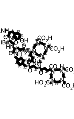 CC[C@@H](C)C(NC(=O)[C@H](Cc1ccc(O)cc1)NC(C)=O)C(=O)N[C@@H](CCC(N)=O)C(=O)NCc1ccc(CNC(=O)C(CNC(=O)CCC(C(=O)O)N2CCN(CC(=O)O)CCN(CC(=O)O)CCN(CC(=O)O)CC2)NC(=O)CCC(C(=O)O)N2CCN(CC(=O)O)CCN(CC(=O)O)CCN(CC(=O)O)CC2)cc1